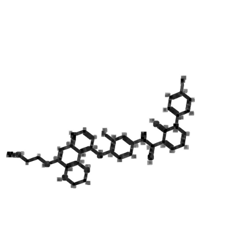 COCCOc1cc2nccc(Oc3ccc(NC(=O)c4cccn(-c5ccc(F)cc5)c4=O)cc3F)c2c2c1OCCO2